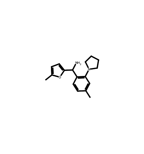 Cc1ccc(C(N)c2ccc(C)o2)c(N2CCCC2)c1